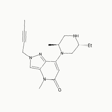 CC#CCn1cc2c(n1)c(N1C[C@@H](CC)NC[C@@H]1C)cc(=O)n2C